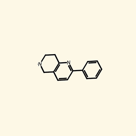 c1ccc(-c2ccc3c(n2)CC[N]C3)cc1